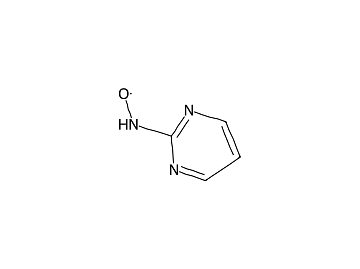 [O]Nc1ncccn1